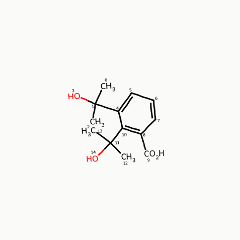 CC(C)(O)c1cccc(C(=O)O)c1C(C)(C)O